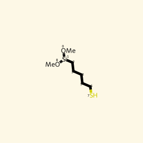 CO[Si](CCCCCS)OC